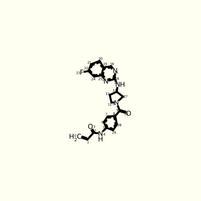 C=CC(=O)Nc1ccc(C(=O)N2CCC(Nc3ncc4ccc(F)cc4n3)C2)cc1